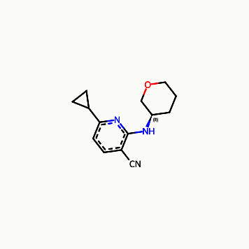 N#Cc1ccc(C2CC2)nc1N[C@@H]1CCCOC1